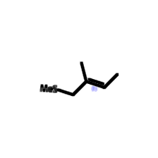 C/C=C(\C)CSC